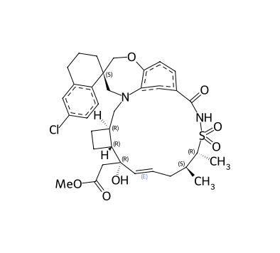 COC(=O)C[C@]1(O)/C=C/C[C@H](C)[C@@H](C)S(=O)(=O)NC(=O)c2ccc3c(c2)N(C[C@@H]2CC[C@H]21)C[C@@]1(CCCc2cc(Cl)ccc21)CO3